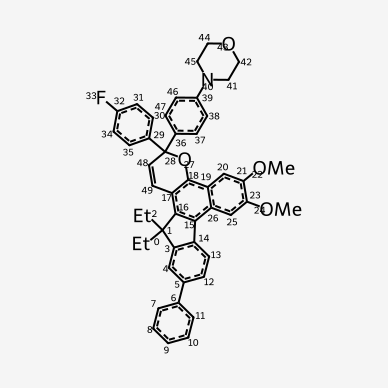 CCC1(CC)c2cc(-c3ccccc3)ccc2-c2c1c1c(c3cc(OC)c(OC)cc23)OC(c2ccc(F)cc2)(c2ccc(N3CCOCC3)cc2)C=C1